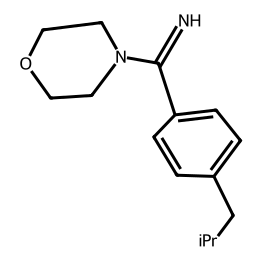 CC(C)Cc1ccc(C(=N)N2CCOCC2)cc1